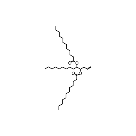 C=CCC(OC(=O)CCCCCCCCCCC)C(CCCCCCCCC)OC(=O)CCCCCCCCCCC